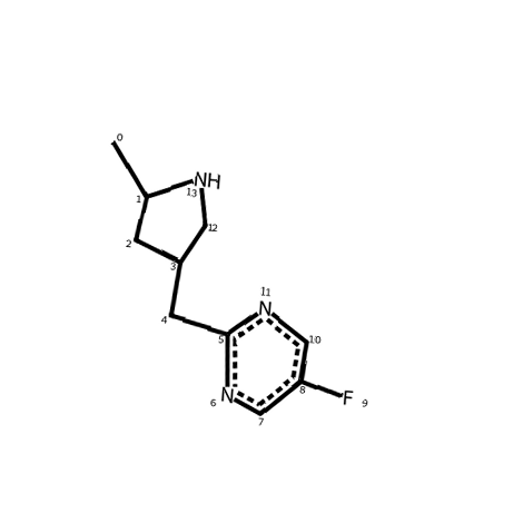 CC1CC(Cc2ncc(F)cn2)CN1